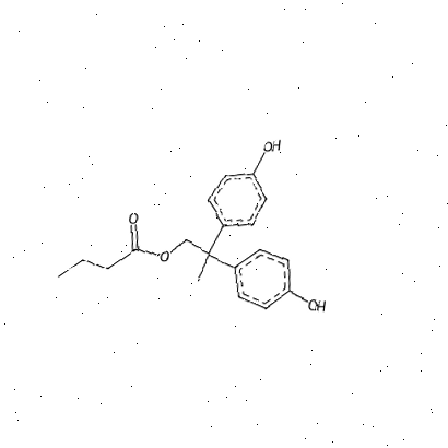 CCCC(=O)OCC(C)(c1ccc(O)cc1)c1ccc(O)cc1